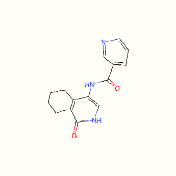 O=C(Nc1c[nH]c(=O)c2c1CCCC2)c1cccnc1